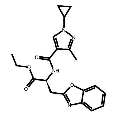 CCOC(=O)[C@H](Cc1nc2ccccc2o1)NC(=O)c1cn(C2CC2)nc1C